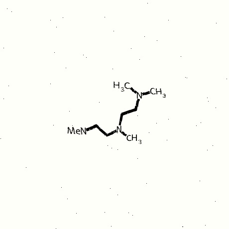 CNCCN(C)CCN(C)C